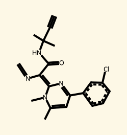 C#CC(C)(C)NC(=O)/C(N=C)=C1\N=C(c2cccc(Cl)c2)C=C(C)N1C